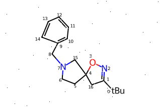 CC(C)(C)C1=NOC2(CCN(Cc3ccccc3)C2)C1